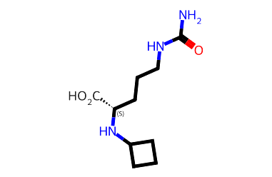 NC(=O)NCCC[C@H](NC1CCC1)C(=O)O